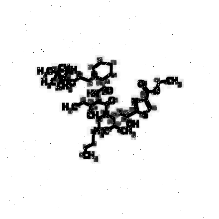 CCCCCCN(C(=O)[C@@H](NC(=O)[C@H]1CCCCN1CCO[Si](C)(C)C(C)(C)C)[C@@H](C)CC)[C@H](C[C@@H](O)c1nc(C(=O)OCC)cs1)C(C)C